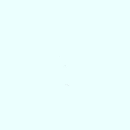 CCc1ncc(NC(=O)c2ccccc2Br)s1